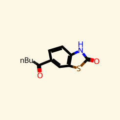 CCCCC(=O)c1ccc2[nH]c(=O)sc2c1